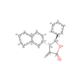 C=C1C(=O)O[C@H](c2ccccc2)[C@H]1c1ccc2ccccc2c1